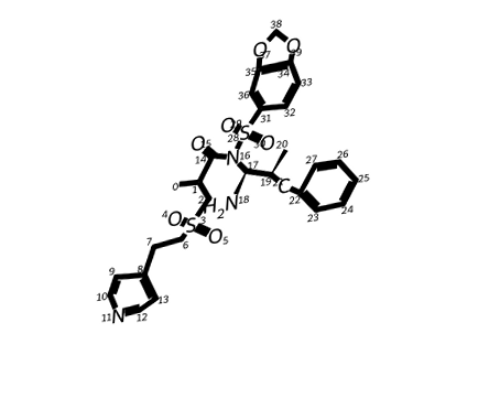 CC(CS(=O)(=O)CCc1ccncc1)C(=O)N([C@H](N)[C@@H](C)Cc1ccccc1)S(=O)(=O)c1ccc2c(c1)OCO2